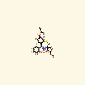 CCCCC1(CC)CSc2cc(OC(C)C)ccc2C(c2ccccc2)N1O